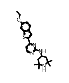 CCOc1ccc2cc(-c3ccnc(NC4CC(C)(C)NC(C)(C)C4)n3)sc2c1